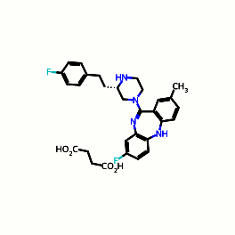 Cc1ccc2c(c1)C(N1CCN[C@@H](CCc3ccc(F)cc3)C1)=Nc1cc(F)ccc1N2.O=C(O)CCC(=O)O